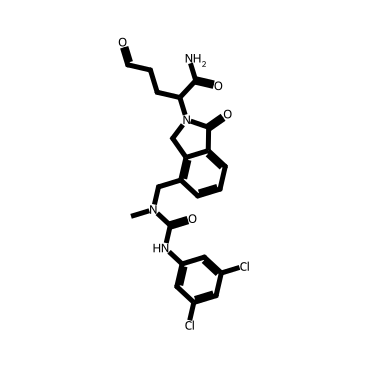 CN(Cc1cccc2c1CN(C(CCC=O)C(N)=O)C2=O)C(=O)Nc1cc(Cl)cc(Cl)c1